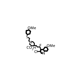 COc1ccc(SCCN2CCC(CCC(F)c3c(Cl)cnc4ccc(OC)cc34)(C(=O)O)CC2)cc1